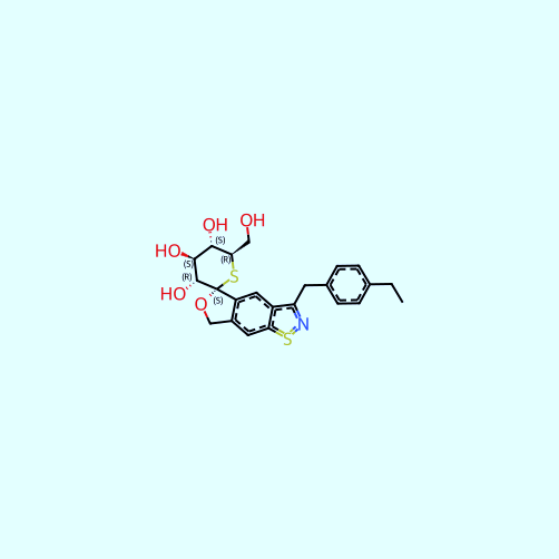 CCc1ccc(Cc2nsc3cc4c(cc23)[C@]2(OC4)S[C@H](CO)[C@@H](O)[C@H](O)[C@H]2O)cc1